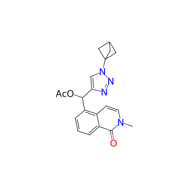 CC(=O)OC(c1cn(C23CC(C2)C3)nn1)c1cccc2c(=O)n(C)ccc12